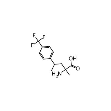 CC(CC(C)(N)C(=O)O)c1ccc(C(F)(F)F)cc1